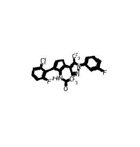 O=C(NC1=C(c2cnn(-c3cccc(F)c3)c2C(F)(F)F)CC=C1c1c(F)cccc1Cl)C(F)(F)F